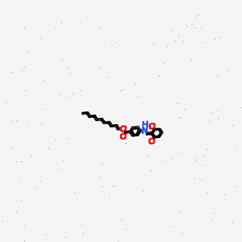 CCCCCCCCCCCOC(=O)c1ccc(NC=C2C(=O)CCCC2=O)cc1